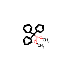 COB(OC)C(c1ccccc1)(c1ccccc1)c1ccccc1